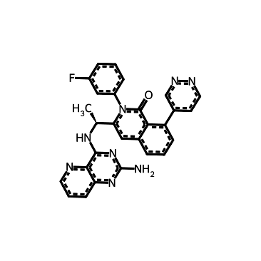 C[C@H](Nc1nc(N)nc2cccnc12)c1cc2cccc(-c3ccnnc3)c2c(=O)n1-c1cccc(F)c1